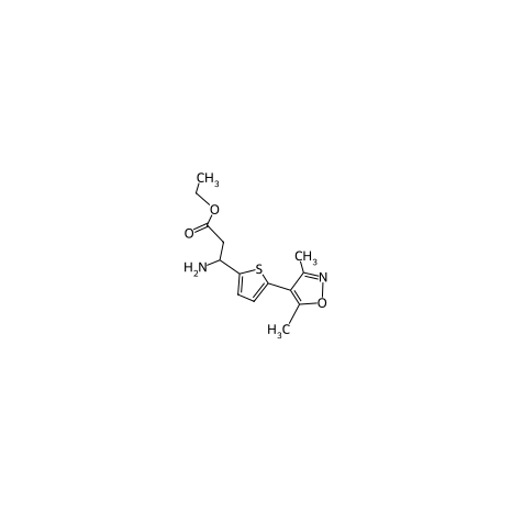 CCOC(=O)CC(N)c1ccc(-c2c(C)noc2C)s1